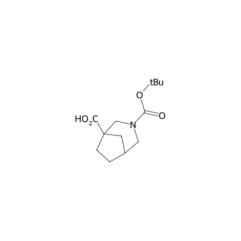 CC(C)(C)OC(=O)N1CC2CCC(C(=O)O)(C2)C1